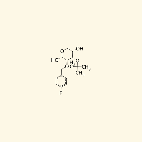 CC(C)(C)O[C@@H]1[C@@H](OCc2ccc(F)cc2)[C@H](O)OC[C@@H]1O